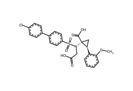 COc1ccccc1[C@@H]1C[C@@]1(C(=O)O)N(CC(=O)O)S(=O)(=O)c1ccc(-c2ccc(Cl)cc2)cc1